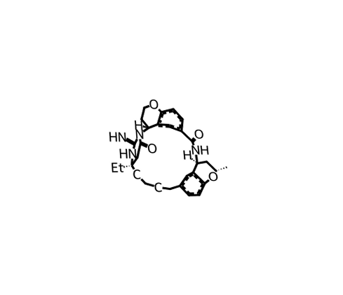 CC[C@]12CCCCc3ccc4c(c3)[C@H](C[C@H](C)O4)NC(=O)c3ccc4c(c3)[C@@H](CCO4)N(C(=N)N1)C(=O)C2